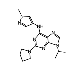 CC(C)n1cnc2c(Nc3cnn(C)c3)nc(N3CCCC3)nc21